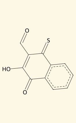 O=CC1=C(O)C(=O)c2ccccc2C1=S